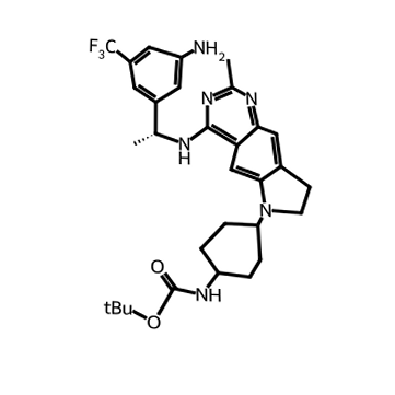 Cc1nc(N[C@H](C)c2cc(N)cc(C(F)(F)F)c2)c2cc3c(cc2n1)CCN3C1CCC(NC(=O)OC(C)(C)C)CC1